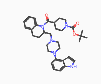 CC(C)(C)OC(=O)N1CCC(C(=O)N2c3ccccc3CCC2CN2CCN(c3cccc4[nH]ccc34)CC2)CC1